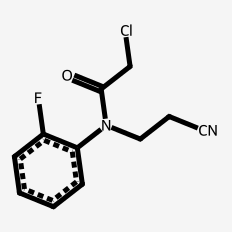 N#CCCN(C(=O)CCl)c1ccccc1F